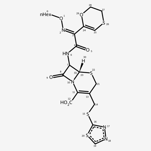 CCCCCCON=C(C(=O)NC1C(=O)N2C(C(=O)O)=C(CSc3nncs3)CS[C@@H]12)C1=CSCCO1